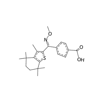 CON=C(c1ccc(C(=O)O)cc1)c1sc2c(c1C)C(C)(C)CCC2(C)C